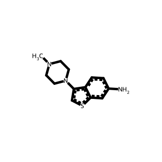 CN1CCN(c2csc3cc(N)ccc23)CC1